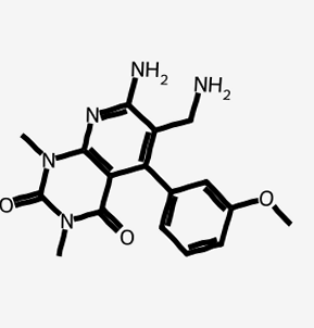 COc1cccc(-c2c(CN)c(N)nc3c2c(=O)n(C)c(=O)n3C)c1